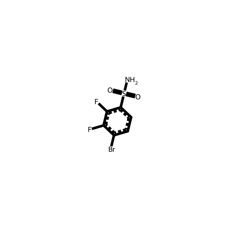 NS(=O)(=O)c1ccc(Br)c(F)c1F